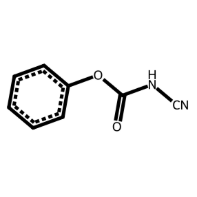 N#CNC(=O)Oc1ccccc1